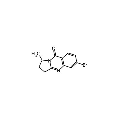 CC1CCc2nc3cc(Br)ccc3c(=O)n21